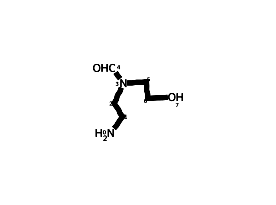 NCCN(C=O)CCO